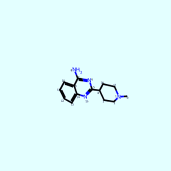 CN1CCC(c2nc(N)c3ccccc3n2)CC1